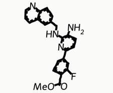 COC(=O)c1ccc(-c2ccc(N)c(NCc3ccc4ncccc4c3)n2)cc1F